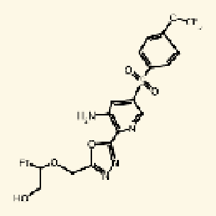 CCC(CO)OCc1nnc(-c2ncc(S(=O)(=O)c3ccc(OC(F)(F)F)cc3)cc2N)o1